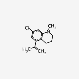 C=C(C)c1cc(Cl)cc2c1CCCN2C